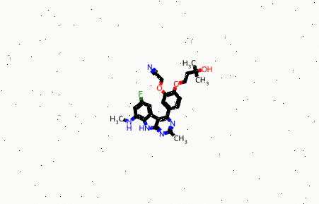 CNc1cc(F)cc2c1[nH]c1nc(C)nc(-c3ccc(OCCC(C)(C)O)c(OCC#N)c3)c12